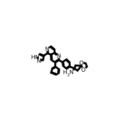 NC1(c2ccc(-c3nc4ccnc(-c5cn[nH]c5)c4cc3-c3ccccc3)cc2)CC2(C1)OCCO2